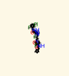 O=C(CC1CCCC1)Nc1ccn(CCC(F)Cn2cc(C(=O)NCc3cc(Cl)ccc3F)nn2)c(=O)c1F